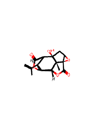 C=C(C)[C@@H]1C2OC(=O)C1[C@]1(O)CC3O[C@]34C(=O)O[C@H]2[C@]14C